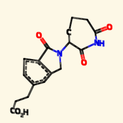 O=C(O)CCc1ccc2c(c1)CN(C1CCCC(=O)NC1=O)C2=O